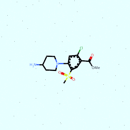 COC(=O)c1cc(S(C)(=O)=O)c(N2CCC(N)CC2)cc1Cl